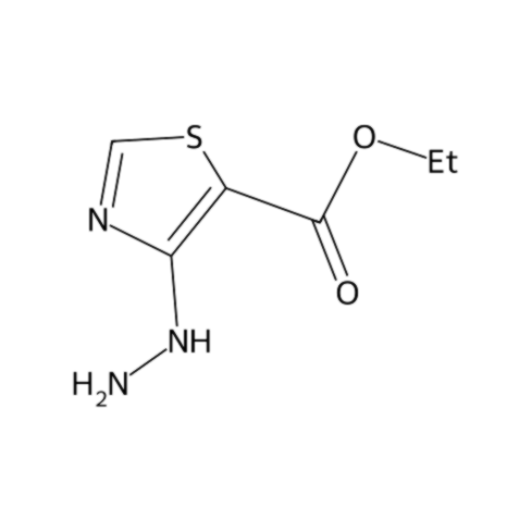 CCOC(=O)c1scnc1NN